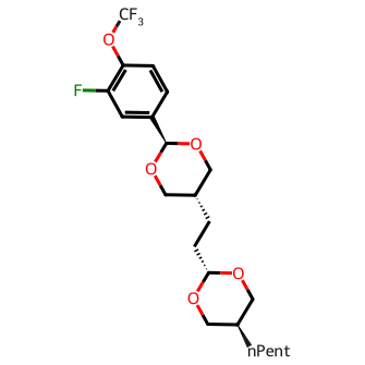 CCCCC[C@H]1CO[C@H](CC[C@H]2CO[C@H](c3ccc(OC(F)(F)F)c(F)c3)OC2)OC1